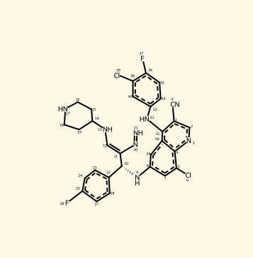 N#Cc1cnc2c(Cl)cc(N[C@@H](/C(=C/NC3CCNCC3)N=N)c3ccc(F)cc3)cc2c1Nc1ccc(F)c(Cl)c1